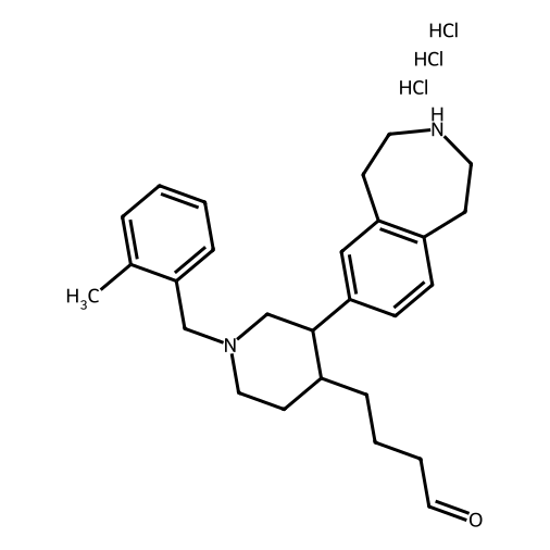 Cc1ccccc1CN1CCC(CCCC=O)C(c2ccc3c(c2)CCNCC3)C1.Cl.Cl.Cl